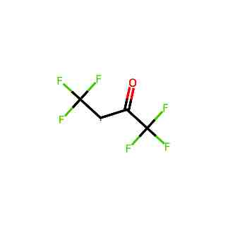 O=C([CH]C(F)(F)F)C(F)(F)F